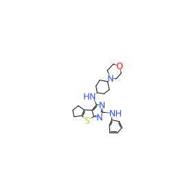 c1ccc(Nc2nc(N[C@H]3CC[C@H](N4CCOCC4)CC3)c3c4c(sc3n2)CCC4)cc1